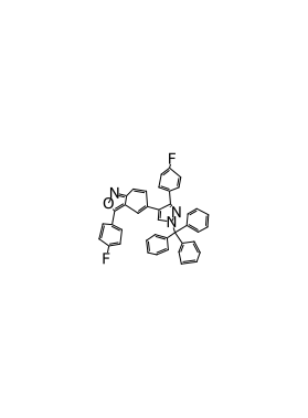 Fc1ccc(-c2nn(C(c3ccccc3)(c3ccccc3)c3ccccc3)cc2-c2ccc3noc(-c4ccc(F)cc4)c3c2)cc1